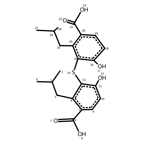 CC(C)Cc1c(C(=O)O)ccc(O)c1Sc1c(O)ccc(C(=O)O)c1CC(C)C